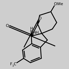 COC1CCC2(CC1)Cc1ccc(C(F)(F)F)cc1C21NC(=O)NC1=O